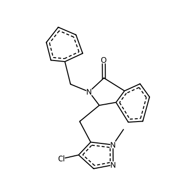 Cn1ncc(Cl)c1CC1c2ccccc2C(=O)N1Cc1ccccc1